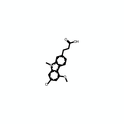 COc1cc(Cl)cc2c1c1ccc(CCC(=O)O)cc1n2C